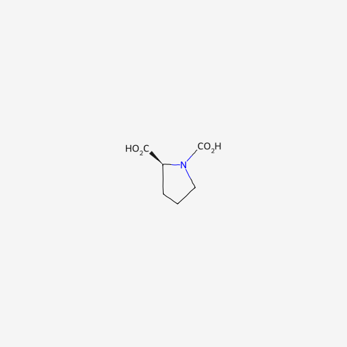 O=C(O)[C@@H]1CCCN1C(=O)O